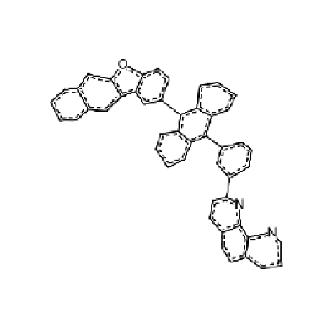 c1cc(-c2ccc3ccc4cccnc4c3n2)cc(-c2c3ccccc3c(-c3ccc4oc5cc6ccccc6cc5c4c3)c3ccccc23)c1